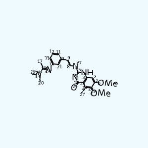 COc1cc2[nH]c(N(C)/C=C/c3cccc(/N=C(\C)N(C)C)c3)nc(=O)c2c(C)c1OC